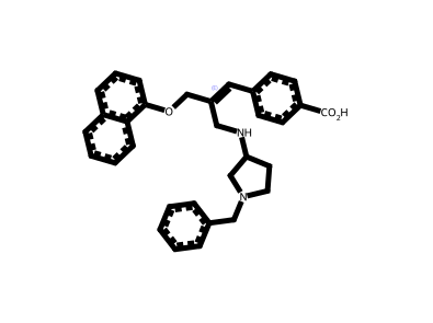 O=C(O)c1ccc(/C=C(\CNC2CCN(Cc3ccccc3)C2)COc2cccc3ccccc23)cc1